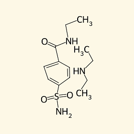 CCNC(=O)c1ccc(S(N)(=O)=O)cc1.CCNCC